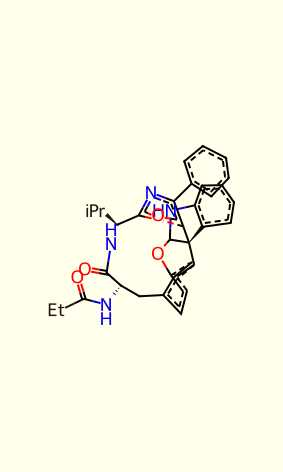 CCC(=O)N[C@H]1Cc2ccc3c(c2)[C@@]2(c4ccccc4NC2O3)c2oc(nc2-c2ccccc2)[C@H](C(C)C)NC1=O